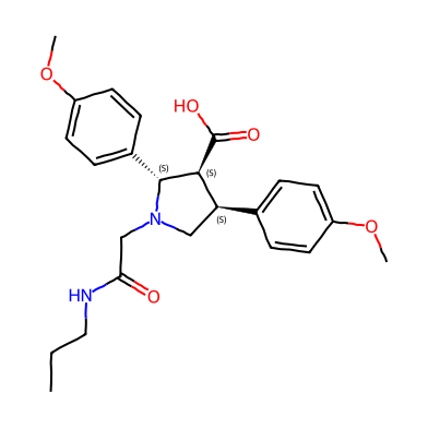 CCCNC(=O)CN1C[C@H](c2ccc(OC)cc2)[C@H](C(=O)O)[C@H]1c1ccc(OC)cc1